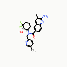 Cc1cc2cc(C(=O)N(Cc3ccc(C(F)(F)F)cn3)[C@@H]3CCCC(F)(F)[C@H]3O)ccc2nc1N